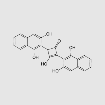 O=C1C(c2c(O)cc3ccccc3c2O)=C(O)C1c1c(O)cc2ccccc2c1O